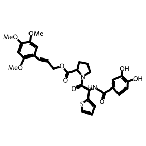 COc1cc(OC)c(OC)cc1/C=C/COC(=O)C1CCCN1C(=O)C(NC(=O)c1ccc(O)c(O)c1)c1cccs1